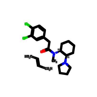 CN(C(=O)Cc1ccc(Cl)c(Cl)c1)[C@@H]1CCCC[C@H]1N1CCCC1.O=C(O)C=CC(=O)O